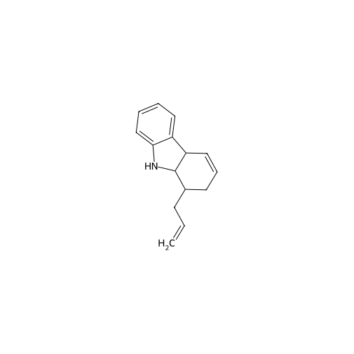 C=CCC1CC=CC2c3ccccc3NC12